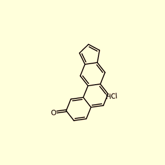 Cl.O=C1C=Cc2ccc3cc4c(cc3c2=C1)=CC=C4